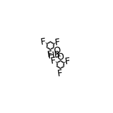 Fc1cc(F)c(OBOc2c(F)cc(F)cc2F)c(F)c1